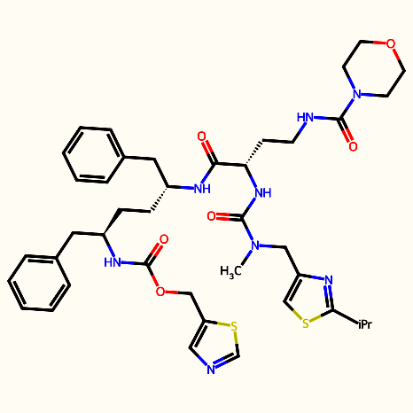 CC(C)c1nc(CN(C)C(=O)N[C@@H](CCNC(=O)N2CCOCC2)C(=O)N[C@H](CC[C@H](Cc2ccccc2)NC(=O)OCc2cncs2)Cc2ccccc2)cs1